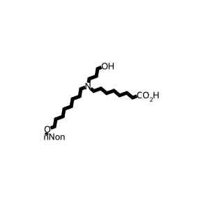 CCCCCCCCCOCCCCCCCCN(CCCO)CCCCCCCC(=O)O